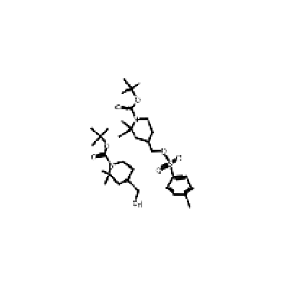 CC(C)(C)OC(=O)N1CCC(CO)CC1(C)C.Cc1ccc(S(=O)(=O)OCC2CCN(C(=O)OC(C)(C)C)C(C)(C)C2)cc1